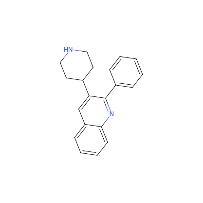 [c]1ccc2cc(C3CCNCC3)c(-c3ccccc3)nc2c1